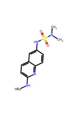 CN(C)S(=O)(=O)Nc1ccc2nc([NH][RaH])ccc2c1